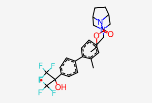 CCOC(=O)N1C2CCC1CN(Cc1ccc(-c3ccc(C(O)(C(F)(F)F)C(F)(F)F)cc3)c(C)c1)C2